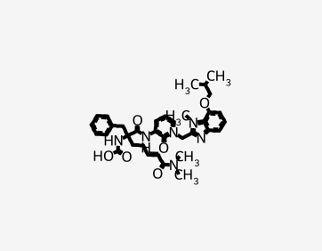 CC(C)COc1cccc2nc(Cn3cccc(NC(=O)C(CC/C=C/C(=O)N(C)C)(Cc4ccccc4)NC(=O)O)c3=O)n(C)c12